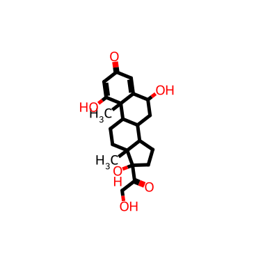 CC12C(O)=CC(=O)C=C1C(O)CC1C2CCC2(C)C1CCC2(O)C(=O)CO